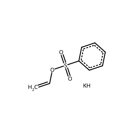 C=COS(=O)(=O)c1ccccc1.[KH]